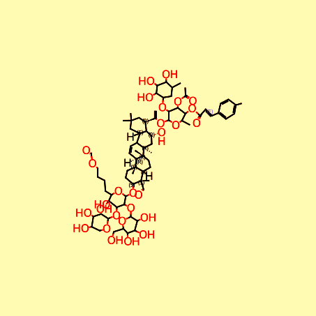 C=C(OC1OC(C)C(OC(=O)/C=C/c2ccc(C)cc2)C(OC(C)=O)C1OC1CC(C)C(O)C(O)C1O)[C@@H]1CC(C)(C)C[C@@H]2C1[C@H](O)C[C@]1(C)C2C=C[C@@H]2[C@@]3(C)CC[C@H](OC4OC(CCCCOC=O)C(O)C(OC5OCC(O)C(O)C5O)C4OC4OC(CO)C(O)C(O)C4O)[C@@](C)(C=O)[C@@H]3CC[C@]21C